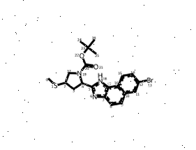 CSC1CC(c2nc3ccc4cc(Br)ccc4c3[nH]2)N(C(=O)OC(C)(C)C)C1